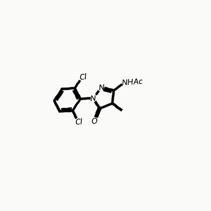 CC(=O)NC1=NN(c2c(Cl)cccc2Cl)C(=O)C1C